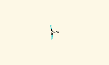 [F][Zn][F].[Zn]